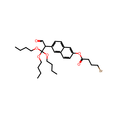 CCCCOC(OCCCC)(OCCCC)C(C=O)c1ccc2cc(OC(=O)CCCBr)ccc2c1